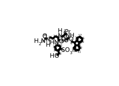 CC(C)[C@H](NC(=O)OCC1c2ccccc2-c2ccccc21)C(=O)NC(CCCNC(N)=O)C(=O)Nc1ccc(CO)c(S(=O)(=O)O)c1